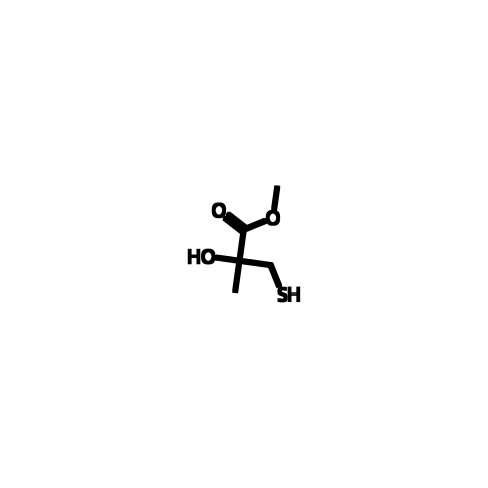 COC(=O)C(C)(O)CS